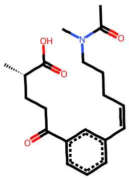 CC(=O)N(C)CCC/C=C\c1cccc(C(=O)CC[C@H](C)C(=O)O)c1